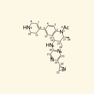 CC(=O)N1c2ccc(C3=CCNCC3)cc2C(Nc2cnc(C3=NC3)cn2)C(C)[C@@H]1C